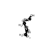 Cc1cc(C2=NC3(CCN(S(=O)(=O)CCc4ccc(C(=O)N(C)CCCn5cc(CCO)nn5)cc4C)CC3)C(=O)N2)cc(C(F)(F)F)c1